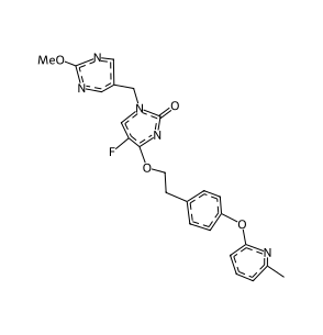 COc1ncc(Cn2cc(F)c(OCCc3ccc(Oc4cccc(C)n4)cc3)nc2=O)cn1